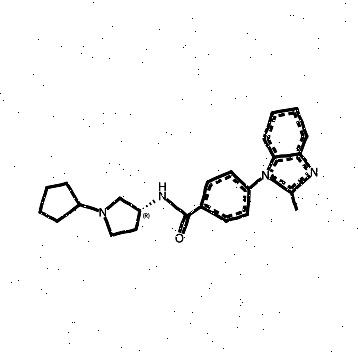 Cc1nc2ccccc2n1-c1ccc(C(=O)N[C@@H]2CCN(C3CCCC3)C2)cc1